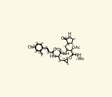 CC(=O)OC(C(=O)NC(C)(C)C)C(C[C@@H]1CCNC1=O)NC(=O)C(CC1CC1)NC(=O)/C=C/c1ccc(Cl)cc1F